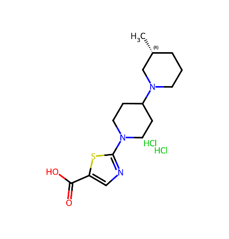 C[C@@H]1CCCN(C2CCN(c3ncc(C(=O)O)s3)CC2)C1.Cl.Cl